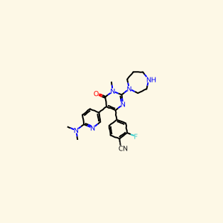 CN(C)c1ccc(-c2c(-c3ccc(C#N)c(F)c3)nc(N3CCCNCC3)n(C)c2=O)cn1